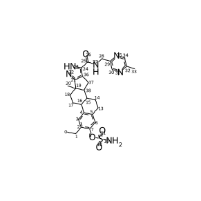 CCc1cc2c(cc1OS(N)(=O)=O)CCC1C2CCC2(C)c3n[nH]c(C(=O)NCc4cnc(C)cn4)c3CC12